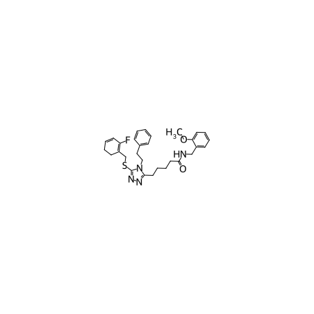 COc1ccccc1CNC(=O)CCCCc1nnc(SCC2=C(F)C=CCC2)n1CCc1ccccc1